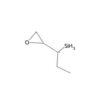 CC[C]([SiH3])C1CO1